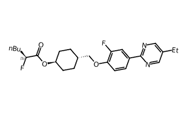 CCCC[C@H](F)C(=O)O[C@H]1CC[C@H](COc2ccc(-c3ncc(CC)cn3)cc2F)CC1